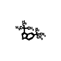 CC(C)(C)c1ccc2scc(C(C)(C)C)c2c1